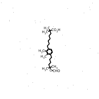 Cc1c(CCCCCCC(C)(C)C(=O)O)ccc(CCCCC(C)(C)OC=O)c1C